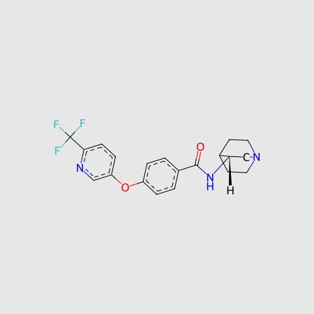 O=C(N[C@H]1CN2CCC1CC2)c1ccc(Oc2ccc(C(F)(F)F)nc2)cc1